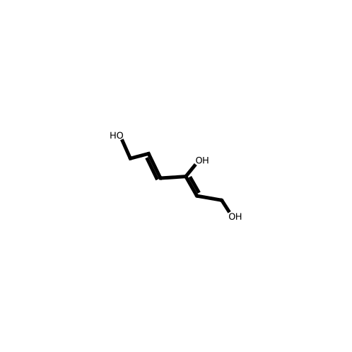 OCC=CC(O)=CCO